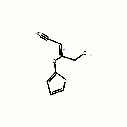 C#C/C=C(/C[CH2])Oc1cccs1